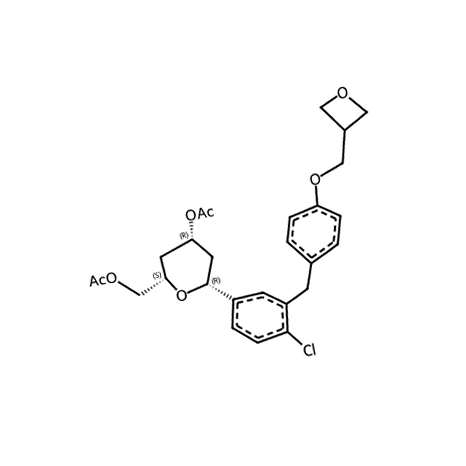 CC(=O)OC[C@@H]1C[C@H](OC(C)=O)C[C@H](c2ccc(Cl)c(Cc3ccc(OCC4COC4)cc3)c2)O1